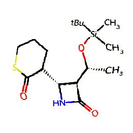 C[C@@H](O[Si](C)(C)C(C)(C)C)[C@H]1C(=O)N[C@@H]1C1CCCSC1=O